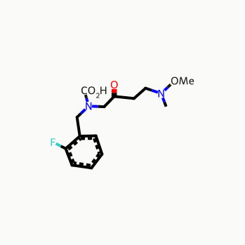 CON(C)CCC(=O)CN(Cc1ccccc1F)C(=O)O